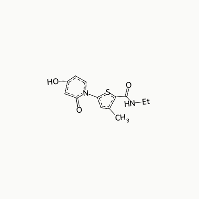 CCNC(=O)c1sc(-n2ccc(O)cc2=O)cc1C